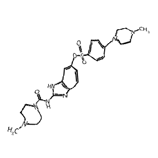 CN1CCN(C(=O)Nc2nc3ccc(OS(=O)(=O)c4ccc(N5CCN(C)CC5)cc4)cc3[nH]2)CC1